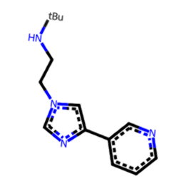 CC(C)(C)NCCn1cnc(-c2cccnc2)c1